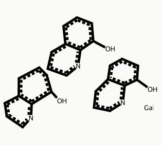 Oc1cccc2cccnc12.Oc1cccc2cccnc12.Oc1cccc2cccnc12.[Ga]